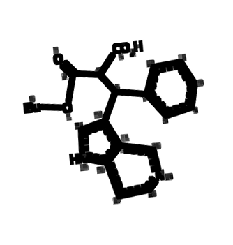 CCC(C)OC(=O)C(C(=O)O)C(c1ccccc1)c1c[nH]c2ccncc12